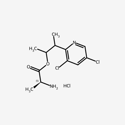 CC(OC(=O)[C@H](C)N)C(C)c1ncc(Cl)cc1Cl.Cl